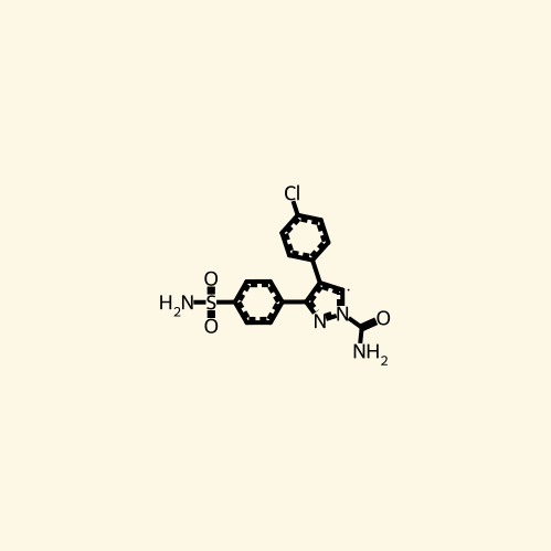 NC(=O)n1[c]c(-c2ccc(Cl)cc2)c(-c2ccc(S(N)(=O)=O)cc2)n1